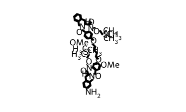 COc1cc2c(cc1OCCCCCOc1cc3c(cc1OC)C(=O)N1Cc4ccccc4C[C@H]1C(=O)N3COCC[Si](C)(C)C)N(COCC[Si](C)(C)C)C(=O)[C@H]1Cc3ccc(N)cc3CN1C2=O